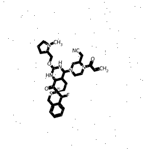 C=CC(=O)N1CCN(C2NC(OCC3CCCN3C)NC3C(=O)[C@@]4(CCC32)SCc2ccccc2C4F)CC1CC#N